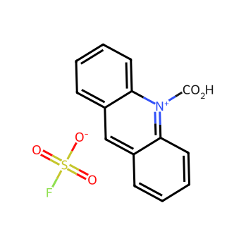 O=C(O)[n+]1c2ccccc2cc2ccccc21.O=S(=O)([O-])F